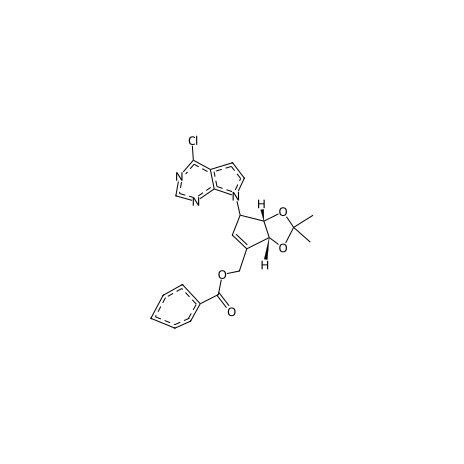 CC1(C)O[C@@H]2C(COC(=O)c3ccccc3)=CC(n3ccc4c(Cl)ncnc43)[C@@H]2O1